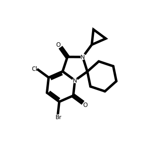 O=C1c2c(Cl)cc(Br)c(=O)n2C2(CCCCC2)N1C1CC1